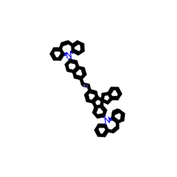 c1ccc2c(c#1)N(c1ccc3c(c1)C1(Cc4ccccc4C1)c1cc(/C=C/c4ccc5c(c4)CCC(N4c6ccccc6C=Cc6ccccc64)=C5)ccc1-3)c1ccccc1C=C2